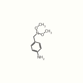 CON(Cc1ccc(N)cc1)OC